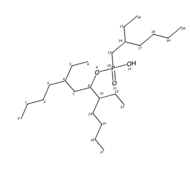 CCCCC(CC)CC(OP(=O)(O)CC(CC)CCCC)C(CC)CCCC